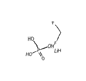 FCF.O=P(O)(O)O.[LiH]